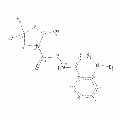 CCN(CC)c1cnccc1C(=O)NCC(=O)N1CC(F)(F)CC1C#N